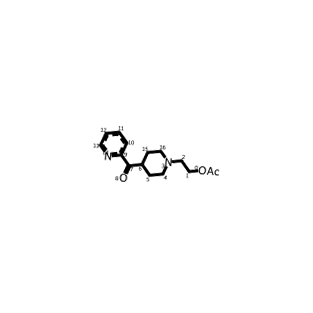 CC(=O)OCCN1CCC(C(=O)c2ccccn2)CC1